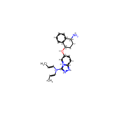 CC=CN(C=CC)c1nnc2ccc(O[C@@H]3CC[C@H](N)c4ccccc43)cn12